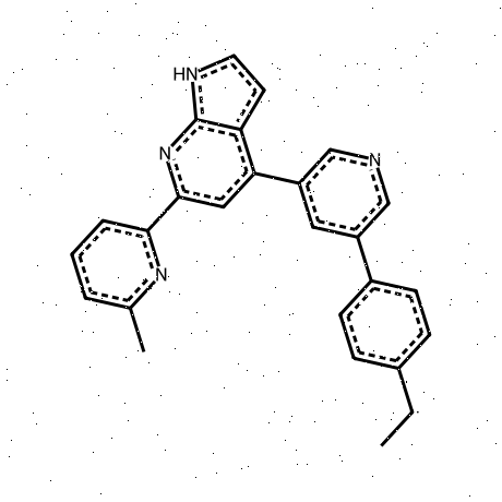 C[CH]c1ccc(-c2cncc(-c3cc(-c4cccc(C)n4)nc4[nH]ccc34)c2)cc1